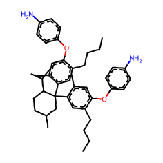 CCCCc1cc(C2(c3cc(CCCC)c(Oc4ccc(N)cc4)cc3C)CC(C)CCC2C(C)C)c(C)cc1Oc1ccc(N)cc1